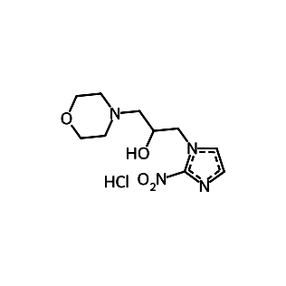 Cl.O=[N+]([O-])c1nccn1CC(O)CN1CCOCC1